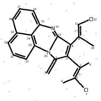 C=c1c(/C(C)=C(\C)Cl)c(/C(C)=C/Cl)c2nc3cccc4cccc(c43)n12